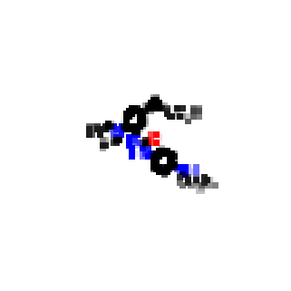 CCOC(=O)Nc1ccc(NC(=O)Nc2cc([C@@H]3C[C@@H]3C(=O)O)ccc2N(CC(C)C)CC(C)C)cc1